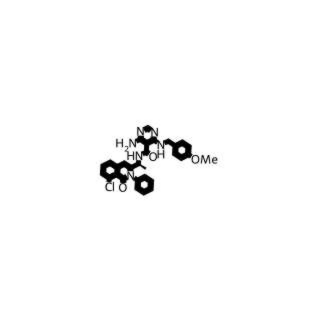 COc1ccc(CNc2ncnc(N)c2C(=O)N[C@@H](C)c2cc3cccc(Cl)c3c(=O)n2-c2ccccc2)cc1